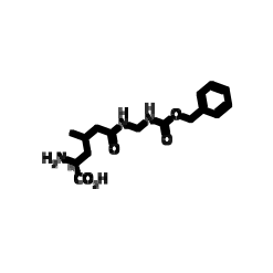 CC(CC(=O)NCNC(=O)OCc1ccccc1)C[C@H](N)C(=O)O